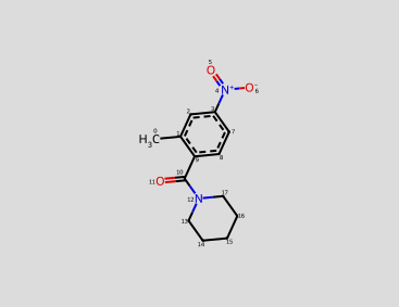 Cc1cc([N+](=O)[O-])ccc1C(=O)N1CCCCC1